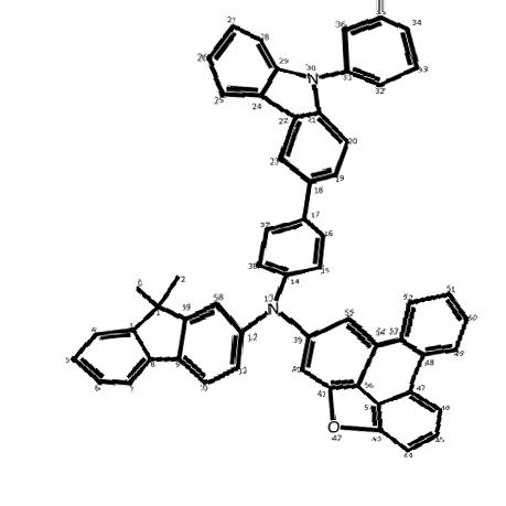 CC1(C)c2ccccc2-c2ccc(N(c3ccc(-c4ccc5c(c4)c4ccccc4n5-c4ccccc4)cc3)c3cc4oc5cccc6c7ccccc7c(c3)c4c56)cc21